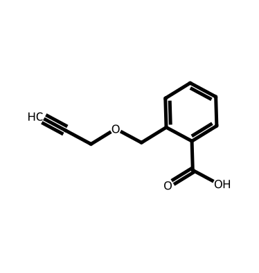 C#CCOCc1ccccc1C(=O)O